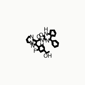 CC(O)c1ccc(-c2nn3cccnc3c2C(=O)N[C@H]2N=C(c3ccccc3)c3ccccc3NC2=O)c(F)c1